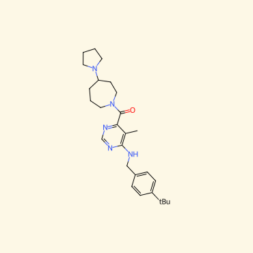 Cc1c(NCc2ccc(C(C)(C)C)cc2)ncnc1C(=O)N1CCCC(N2CCCC2)CC1